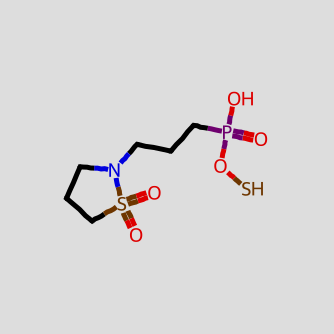 O=P(O)(CCCN1CCCS1(=O)=O)OS